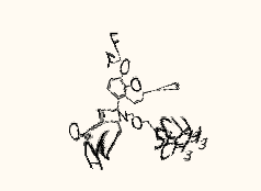 C[Si](C)(C)CCOCn1c(-c2ccc(OC(F)F)c3c2C=CC(C2CC2)O3)cc2c(=O)[nH]ncc21